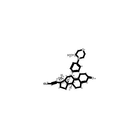 C[C@@H]1COCCN1c1ccc([C@H]2C[C@@]3(C)[C@@H](CC[C@@]3(O)C#CC(C)(C)C)[C@@H]3CCC4=CC(=O)CCC4=C32)cc1